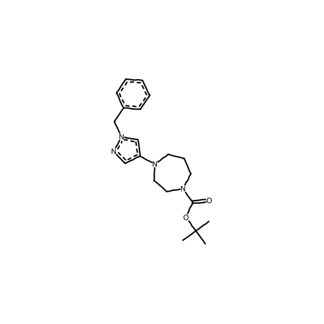 CC(C)(C)OC(=O)N1CCCN(c2cnn(Cc3ccccc3)c2)CC1